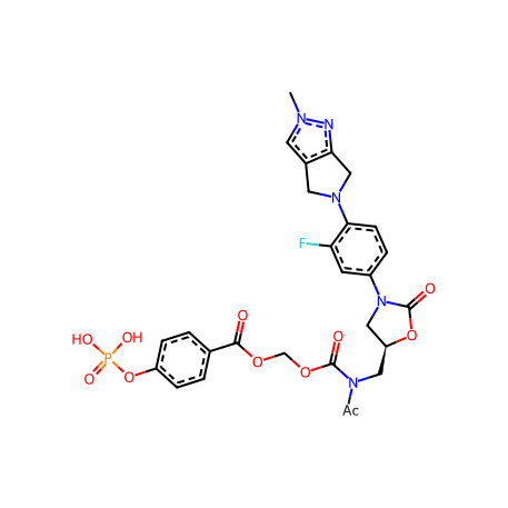 CC(=O)N(C[C@H]1CN(c2ccc(N3Cc4cn(C)nc4C3)c(F)c2)C(=O)O1)C(=O)OCOC(=O)c1ccc(OP(=O)(O)O)cc1